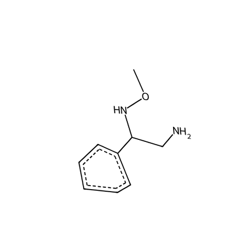 CONC(CN)c1ccccc1